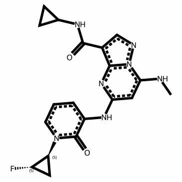 CNc1cc(Nc2cccn([C@H]3C[C@@H]3F)c2=O)nc2c(C(=O)NC3CC3)cnn12